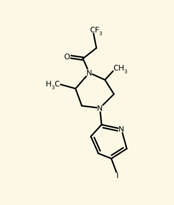 CC1CN(c2ccc(I)cn2)CC(C)N1C(=O)CC(F)(F)F